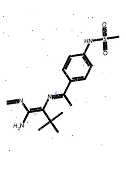 C=N/C(N)=C(\N=C(/C)c1ccc(NS(C)(=O)=O)cc1)C(C)(C)C